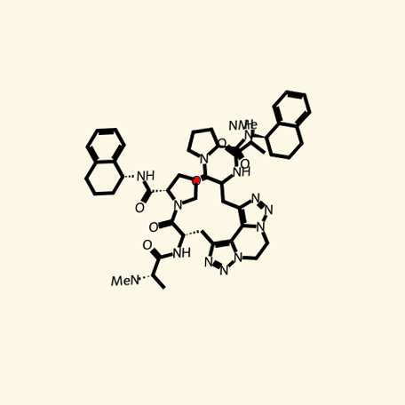 CN[C@@H](C)C(=O)NC(Cc1nnn2c1-c1c(C[C@H](NC(=O)[C@H](C)NC)C(=O)N3CCC[C@H]3C(=O)N[C@@H]3CCCc4ccccc43)nnn1CC2)C(=O)N1CCC[C@H]1C(=O)N[C@@H]1CCCc2ccccc21